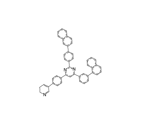 C1=NCCC=C1c1ccc(-c2cc(-c3cccc(-c4cccc5ccccc45)c3)nc(-c3ccc(-c4ccc5ccccc5c4)cc3)n2)cc1